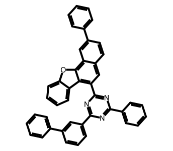 c1ccc(-c2cccc(-c3nc(-c4ccccc4)nc(-c4cc5ccc(-c6ccccc6)cc5c5oc6ccccc6c45)n3)c2)cc1